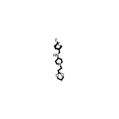 Fc1ccc(CNC2CCN(CCC3OCCCO3)CC2)cc1